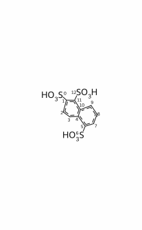 O=S(=O)(O)c1ccc2c(S(=O)(=O)O)c[c]cc2c1S(=O)(=O)O